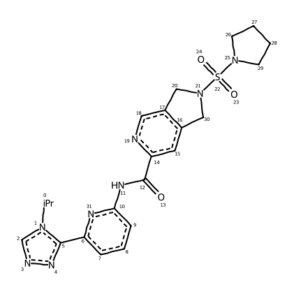 CC(C)n1cnnc1-c1cccc(NC(=O)c2cc3c(cn2)CN(S(=O)(=O)N2CCCC2)C3)n1